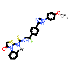 CC(C)c1ccccc1N1C(=O)CS/C1=N\C(=S)NCC(F)c1ccc(-c2ncn(-c3ccc(OC(F)(F)F)cc3)n2)cc1